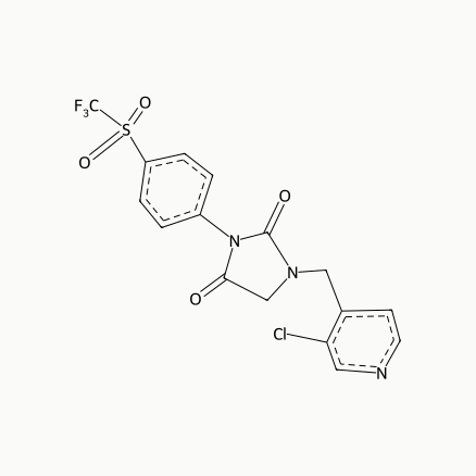 O=C1CN(Cc2ccncc2Cl)C(=O)N1c1ccc(S(=O)(=O)C(F)(F)F)cc1